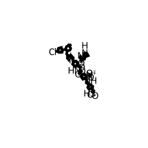 CC1(C)CCC(CN2CCN(c3ccc(C(=O)NS(=O)(=O)c4ccc(NCC5CCN(C[SH](=O)=O)CC5)c([N+](=O)[O-])c4)c(Oc4cnc5[nH]ccc5c4)c3)CC2)=C(c2ccc(Cl)cc2)C1